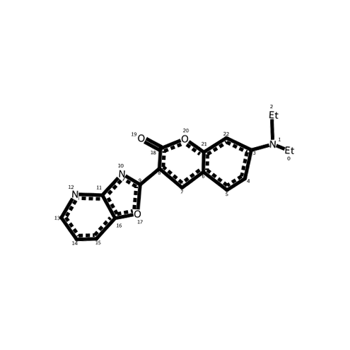 CCN(CC)c1ccc2cc(-c3nc4ncccc4o3)c(=O)oc2c1